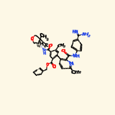 COc1ccc(-c2cc(C)c(C(=O)N[C@@H]3COCC3(C)C)cc2C(=O)OCc2ccccc2)c(C(=O)Nc2ccc(C(=N)N)cc2)n1